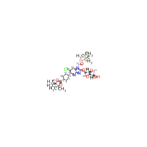 CC1(C)OB(c2ccc(-c3nc4nc(O[C@@H]5CO[C@H]6[C@@H]5OC[C@H]6O)n(COCCS(C)(C)C)c4cc3Cl)cc2)OC1(C)C